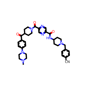 CN1CCN(c2ccc(C(=O)C3CCN(C(=O)c4cnc(C(=O)NC5CCN(Cc6ccc(C#N)cc6)CC5)cn4)CC3)cc2)CC1